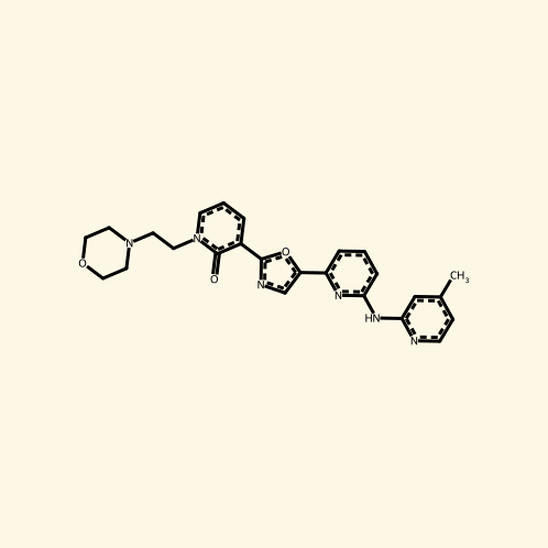 Cc1ccnc(Nc2cccc(-c3cnc(-c4cccn(CCN5CCOCC5)c4=O)o3)n2)c1